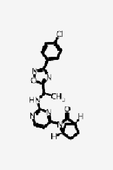 C[C@@H](Nc1nccc(N2C(=O)[C@@H]3CC[C@H]2C3)n1)c1nc(-c2ccc(Cl)cc2)no1